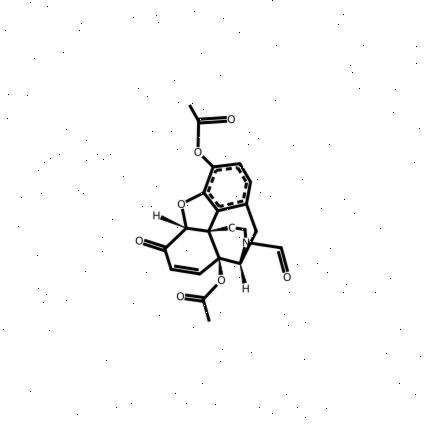 CC(=O)Oc1ccc2c3c1O[C@H]1C(=O)C=C[C@@]4(OC(C)=O)[C@@H](C2)N(C=O)CC[C@]314